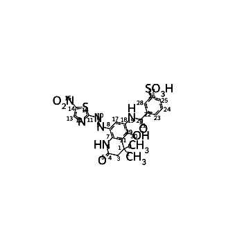 CC1(C)CC(=O)Nc2c(N=Nc3ncc([N+](=O)[O-])s3)cc(NC(=O)c3cccc(S(=O)(=O)O)c3)c(O)c21